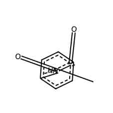 O=c1[nH]c(=O)c2ccc1cc2